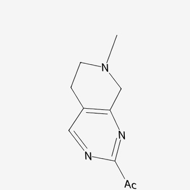 CC(=O)c1ncc2c(n1)CN(C)CC2